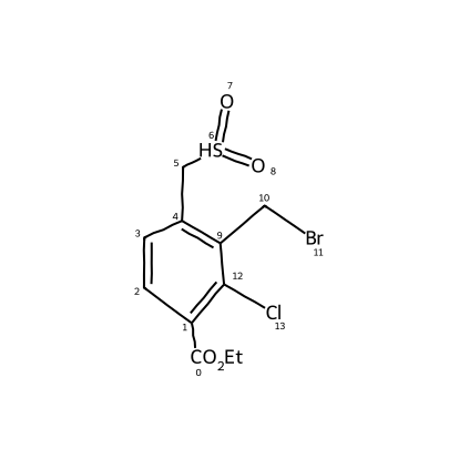 CCOC(=O)c1ccc(C[SH](=O)=O)c(CBr)c1Cl